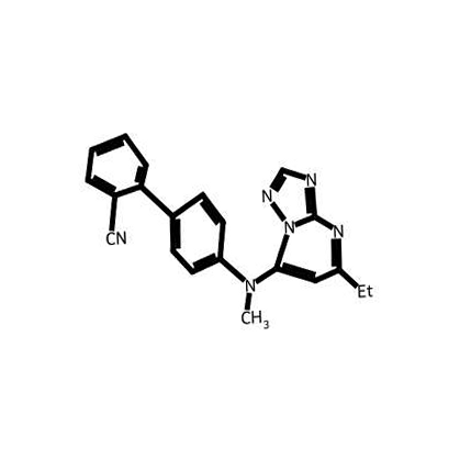 CCc1cc(N(C)c2ccc(-c3ccccc3C#N)cc2)n2ncnc2n1